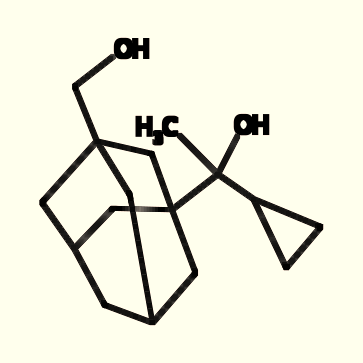 CC(O)(C1CC1)C12CC3CC(CC(CO)(C3)C1)C2